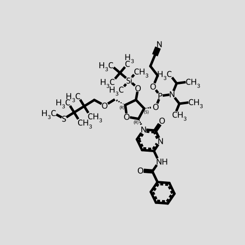 CSC(C)(C)C(C)(C)COC[C@H]1O[C@@H](n2ccc(NC(=O)c3ccccc3)nc2=O)[C@@H](OP(OCCC#N)N(C(C)C)C(C)C)C1O[Si](C)(C)C(C)(C)C